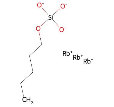 CCCCCO[Si]([O-])([O-])[O-].[Rb+].[Rb+].[Rb+]